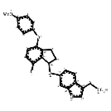 COc1ccc(Oc2ccc(F)c3c2CCC3Oc2ccc3c(CC(=O)O)coc3c2)cc1